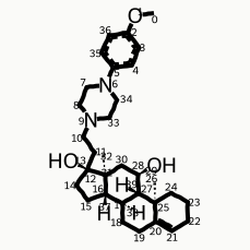 COc1ccc(N2CCN(CC[C@@]3(O)CC[C@H]4[C@@H]5CCC6=CCCC[C@]6(C)[C@H]5[C@H](O)C[C@@]43C)CC2)cc1